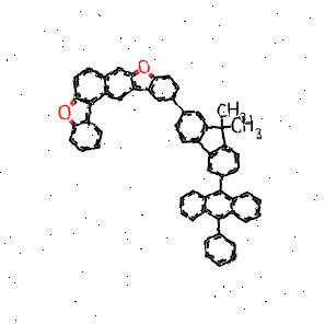 CC1(C)c2ccc(-c3c4ccccc4c(-c4ccccc4)c4ccccc34)cc2-c2ccc(-c3ccc4oc5cc6ccc7oc8ccccc8c7c6cc5c4c3)cc21